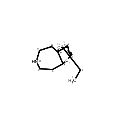 CCC1N=C2C=CCC3CCNCCC23O1